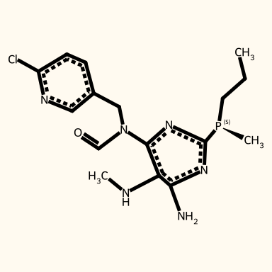 CCC[P@@](C)c1nc(N)c(NC)c(N(C=O)Cc2ccc(Cl)nc2)n1